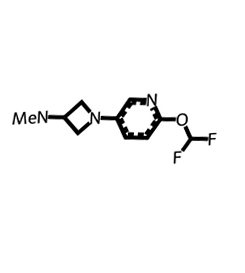 CNC1CN(c2ccc(OC(F)F)nc2)C1